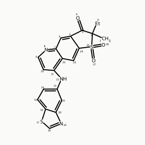 CCC1(C)C(=O)c2cc3nccc(Nc4ccc5scnc5c4)c3cc2S1(=O)=O